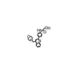 O=C(CO)Nc1ccc(-c2cc(CN3CCOCC3)c3ccccc3n2)cc1